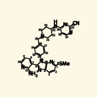 CSc1ccc2nc(-c3cccnc3N)n(-c3ccc(CN4CCC(Nc5ccnc(C#N)n5)CC4)cc3)c2n1